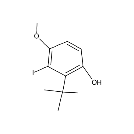 COc1ccc(O)c(C(C)(C)C)c1I